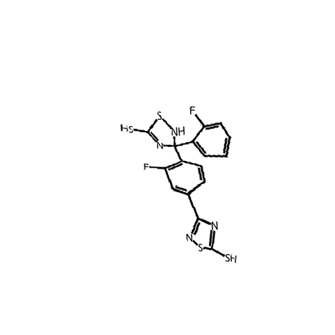 Fc1ccccc1C1(c2ccc(-c3nsc(S)n3)cc2F)N=C(S)SN1